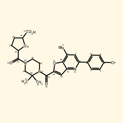 CC(C)(C)c1cc(-c2ccc(Cl)cc2)nc2cc(C(=O)N3CCN(C(=O)C4CCC(C(=O)O)O4)CC3(C)C)oc12